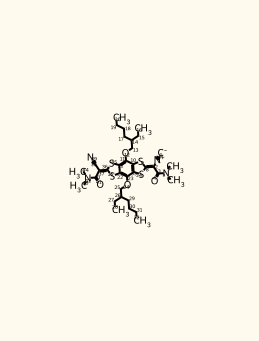 [C-]#[N+]C(C(=O)N(C)C)=C1Sc2c(OCC(CC)CCCC)c3c(c(OCC(CC)CCCC)c2S1)SC(=C(C#N)C(=O)N(C)C)S3